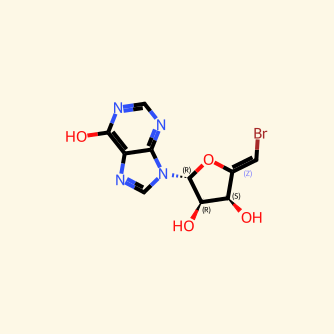 Oc1ncnc2c1ncn2[C@@H]1O/C(=C\Br)[C@@H](O)[C@H]1O